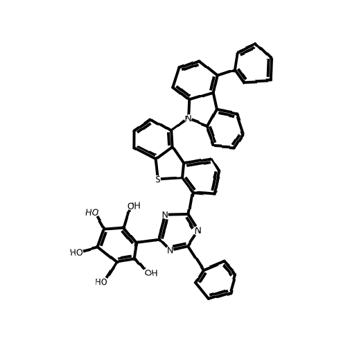 Oc1c(O)c(O)c(-c2nc(-c3ccccc3)nc(-c3cccc4c3sc3cccc(-n5c6ccccc6c6c(-c7ccccc7)cccc65)c34)n2)c(O)c1O